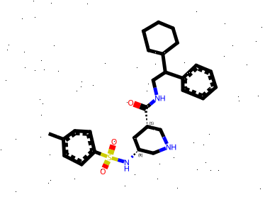 Cc1ccc(S(=O)(=O)N[C@H]2CNC[C@@H](C(=O)NCC(c3ccccc3)C3CCCCC3)C2)cc1